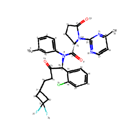 CC(C)(C)c1cccc(N(C(=O)[C@@H]2CCC(=O)N2c2nccc(C#N)n2)[C@H](C(=O)CCC2CC(F)(F)C2)c2ccccc2Cl)c1